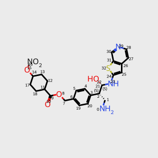 NC[C@H](c1ccc(COC(=O)C2CCC(O[N+](=O)[O-])CC2)cc1)[C@H](O)Nc1cc2ccncc2s1